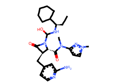 CC[C@@H](NC(O)N1C(=O)[C@H](Cc2ccnc(N)c2)[C@H]1C(=O)N(C)c1ccn(C)n1)C1CCCCC1